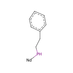 [Nd][PH]CCc1ccccc1